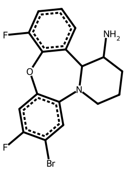 NC1CCCN2c3cc(Br)c(F)cc3Oc3c(F)cccc3C12